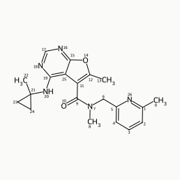 Cc1cccc(CN(C)C(=O)c2c(C)oc3ncnc(NC4(C)CC4)c23)n1